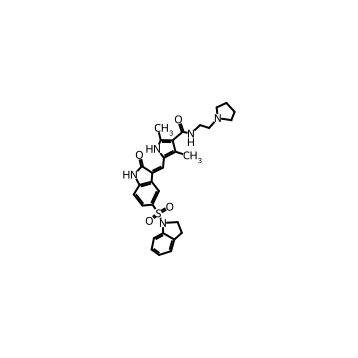 Cc1[nH]c(/C=C2\C(=O)Nc3ccc(S(=O)(=O)N4CCc5ccccc54)cc32)c(C)c1C(=O)NCCN1CCCC1